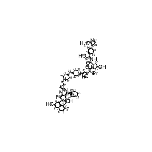 C#Cc1c(F)ccc2cc(O)cc(-c3ncc4c(N5CC6CCC(C5)N6)nc(OCCN5CCC(CC6CCN(c7cc([C@@H](C(=O)N8C[C@H](O)C[C@H]8C(=O)N[C@@H](CO)c8ccc(-c9scnc9C)cc8)C(C)C)on7)CC6)CC5)nc4c3F)c12